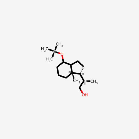 C[C@@H](CO)[C@H]1CCC2C(O[Si](C)(C)C)CCC[C@]21C